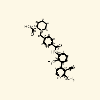 Cc1nccc(-c2cccc(NC(=O)c3ccc(CN4CCCC[C@@H]4C(=O)O)cn3)c2C)c1C#N